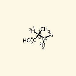 [2H]N(F)[C@@]([2H])(C)C(=O)O